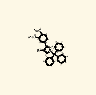 COc1ccc(-c2nn(C(c3ccccc3)(c3ccccc3)c3ccccc3)cc2Br)cc1OC